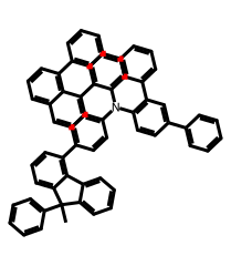 CC1(c2ccccc2)c2ccccc2-c2c(-c3ccc(N(c4ccc(-c5ccccc5)cc4-c4ccccc4)c4ccccc4-c4cccc5cccc(-c6ccccc6)c45)cc3)cccc21